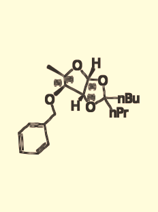 CCCCC1(CCC)O[C@H]2O[C@H](C)[C@H](OCc3ccccc3)[C@H]2O1